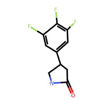 O=C1CC(c2cc(F)c(F)c(F)c2)C[N]1